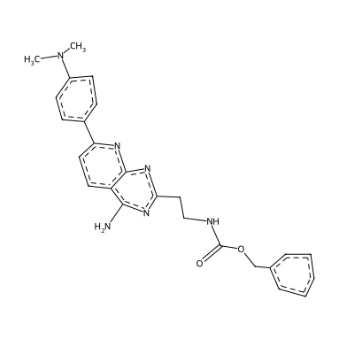 CN(C)c1ccc(-c2ccc3c(N)nc(CCNC(=O)OCc4ccccc4)nc3n2)cc1